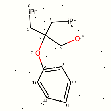 CC(C)CC(C[O])(CC(C)C)Oc1ccccc1